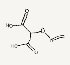 C=NOC(C(=O)O)C(=O)O